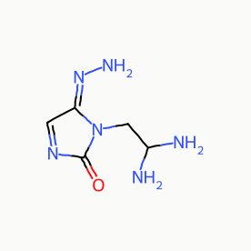 NN=C1C=NC(=O)N1CC(N)N